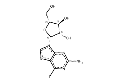 Nc1nc(I)c2ncn([C@@H]3O[C@H](CO)[C@@H](O)[C@@H]3O)c2n1